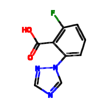 O=C(O)c1c(F)cccc1-n1cncn1